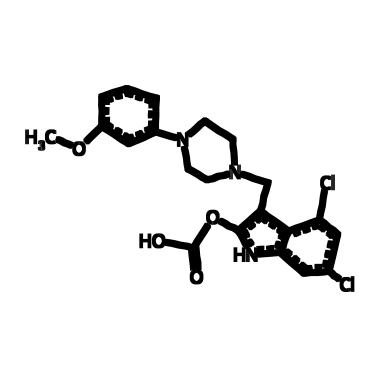 COc1cccc(N2CCN(Cc3c(OC(=O)O)[nH]c4cc(Cl)cc(Cl)c34)CC2)c1